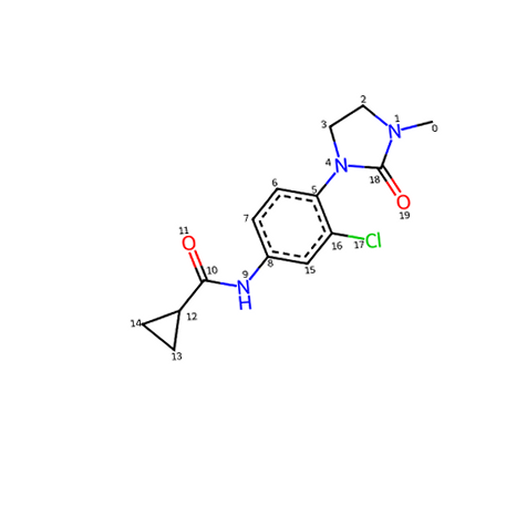 CN1CCN(c2ccc(NC(=O)C3CC3)cc2Cl)C1=O